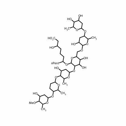 CCCCCC(CCCC(O)CC(=O)O)OC1OC(COC2OC(C)C(OC3CC(O)C(O)C(C)O3)CC2O)C(O)C(O)C1OC1CC(O)C(OC2CCC(OC3CC(O)C(OC)C(C)O3)C(C)O2)C(C)O1